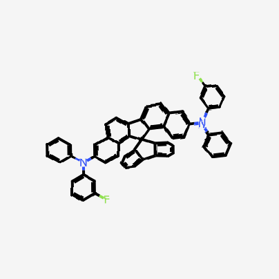 Fc1cccc(N(c2ccccc2)c2ccc3c4c(ccc3c2)-c2ccc3cc(N(c5ccccc5)c5cccc(F)c5)ccc3c2C42c3ccccc3-c3ccccc32)c1